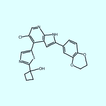 OC1(c2ncc(-c3c(Cl)cnc4[nH]c(-c5ccc6c(c5)OCCO6)cc34)s2)CCC1